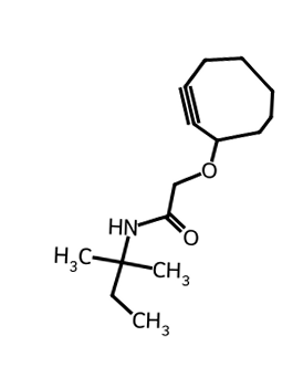 CCC(C)(C)NC(=O)COC1C#CCCCCC1